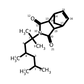 CC(C)CC(C)CC(C)(C)N1C(=O)C2C3C=CC(C3)C2C1=O